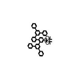 CC1(C)OB(c2ccc(-c3ccccc3-c3cc(-c4ccccc4)cc(-c4ccccc4)c3)c(-c3cc(-c4ccccc4)cc(-c4ccccc4)c3)c2)OC1(C)C